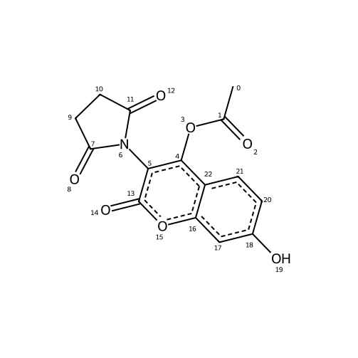 CC(=O)Oc1c(N2C(=O)CCC2=O)c(=O)oc2cc(O)ccc12